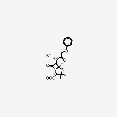 CC1(C)S[C@@H]2C(NC(=O)COc3ccccc3)C(=O)N2[C@H]1C(=O)[O-].[K+]